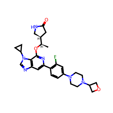 C[C@@H](Oc1nc(-c2ccc(N3CCN(C4COC4)CC3)cc2F)cc2ncn(C3CC3)c12)[C@H]1CNC(=O)C1